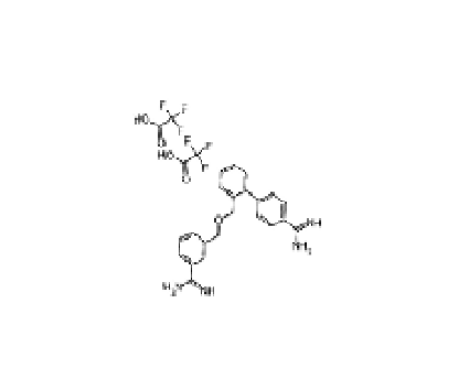 N=C(N)c1ccc(-c2ccccc2COCc2cccc(C(=N)N)c2)cc1.O=C(O)C(F)(F)F.O=C(O)C(F)(F)F